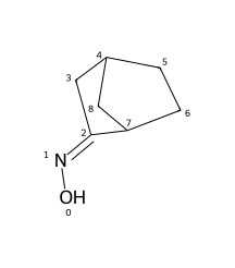 O/N=C1/CC2CCC1C2